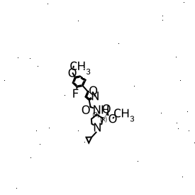 COC(=O)[C@@H]1CN(CC2CC2)CC[C@H]1NC(=O)c1cc(-c2ccc(OC)cc2F)on1